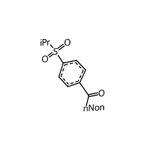 CCCCCCCCCC(=O)c1ccc(S(=O)(=O)C(C)C)cc1